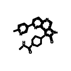 CNC(=O)N1CCC(n2c(=O)n(C)c3cnc4ccc(-c5ccc(C)nc5)nc4c32)CC1